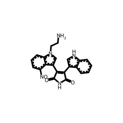 NCCn1cc(C2=C(c3c[nH]c4ccccc34)C(=O)NC2=O)c2c([N+](=O)[O-])cccc21